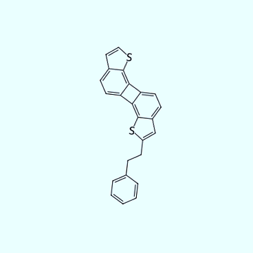 c1ccc(CCc2cc3ccc4c(c3s2)-c2ccc3ccsc3c2-4)cc1